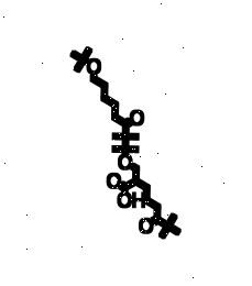 CC(C)(C)OCCCCCC(=O)C(C)(C)C(C)(C)OCC(CCCC(=O)C(C)(C)C)C(=O)O